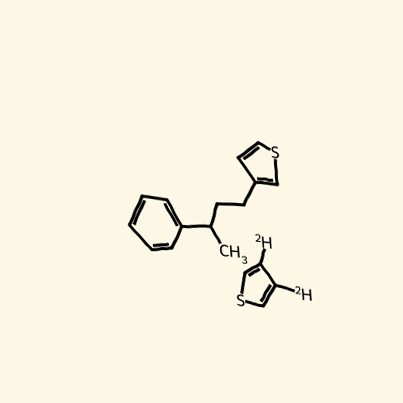 CC(CCc1ccsc1)c1ccccc1.[2H]c1cscc1[2H]